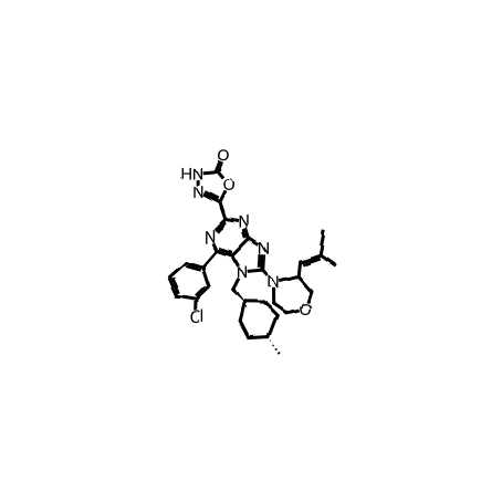 CC(C)=CC1COCCN1c1nc2nc(-c3n[nH]c(=O)o3)nc(-c3cccc(Cl)c3)c2n1C[C@H]1CC[C@H](C)CC1